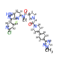 CCN(C(=O)[C@@H]1CCN(CC(=O)N2CC=C(c3ccc(-c4ncn(C)n4)cc3)CC2)C1)c1ccc2[nH]nc(-c3cnc(Cl)cc3F)c2n1